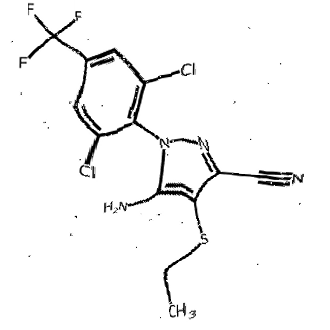 CCSc1c(C#N)nn(-c2c(Cl)cc(C(F)(F)F)cc2Cl)c1N